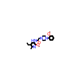 CCc1cc(NC(=O)CN2CCN(c3ccccc3OC)CC2)c(OC)nc1C